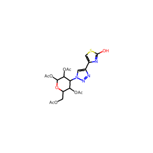 CC(=O)OCC1OC(OC(C)=O)C(OC(C)=O)C(n2cc(-c3csc(O)n3)nn2)C1OC(C)=O